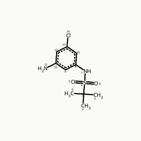 CC(C)(C)S(=O)(=O)Nc1cc(N)cc(Cl)c1